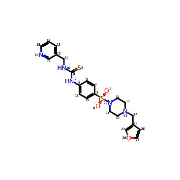 O=S(=O)(c1ccc(NC(=S)NCc2cccnc2)cc1)N1CCN(Cc2ccoc2)CC1